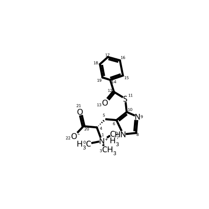 C[N+](C)(C)[C@@H](Cc1[nH]cnc1SC(=O)c1ccccc1)C(=O)[O-]